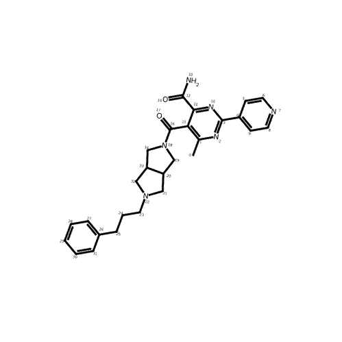 Cc1nc(-c2ccncc2)nc(C(N)=O)c1C(=O)N1CC2CN(CC[CH]c3ccccc3)CC2C1